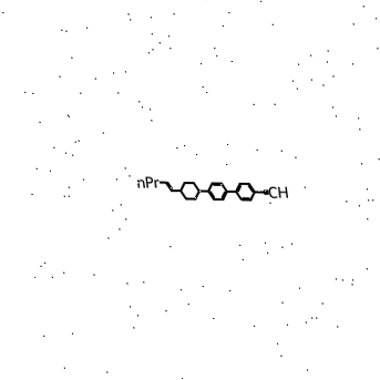 C#Cc1ccc(-c2ccc(C3CCC(C=CCCC)CC3)cc2)cc1